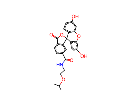 CC(C)OCCNC(=O)c1ccc2c(c1)C1(OC2=O)c2ccc(O)cc2Oc2cc(O)ccc21